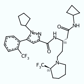 O=C(C[C@H](CCN1CCCC[C@H]1C(F)(F)F)NC(=O)c1cc(-c2ccccc2C(F)(F)F)n(C2CCCC2)n1)NC1CCC1